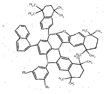 CC(C)(C)c1cc(N2c3cc4c(cc3B3c5c2cc(-c2cccc6ccccc26)cc5N(c2ccc5c(c2)C(C)(C)CCC5(C)C)c2oc5cc6c(cc5c23)C(C)(C)CCC6(C)C)C(C)(C)CCC4(C)C)cc(C(C)(C)C)c1